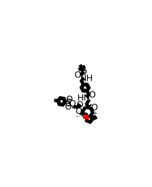 CC[C@@]12CCCC13CC[C@@H](C)[C@@]3(C)[C@H](OC(=O)COS(=O)(=O)c1ccc(C)cc1)C[C@](C)(CCNC(=O)c1ccc(CNC(=O)OC(C)(C)C)cc1)C(=O)[C@@H]2C